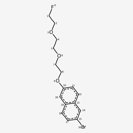 FCCOCCOCCOc1ccc2cc(Br)ccc2c1